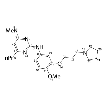 CCCc1cc(NC)nc(Nc2ccc(OC)c(OCCCN3CCCC3)c2)n1